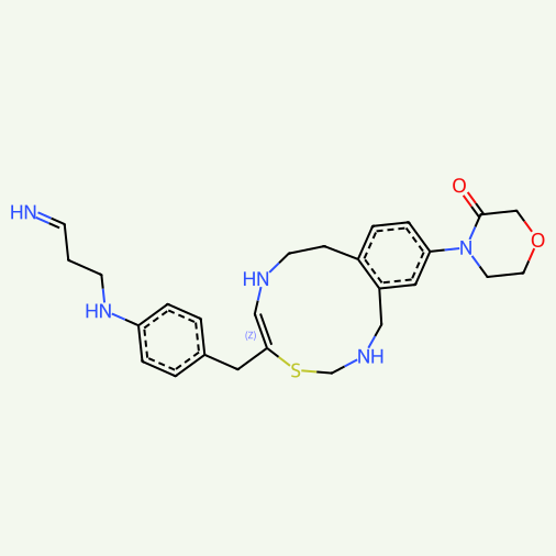 N=CCCNc1ccc(C/C2=C/NCCc3ccc(N4CCOCC4=O)cc3CNCS2)cc1